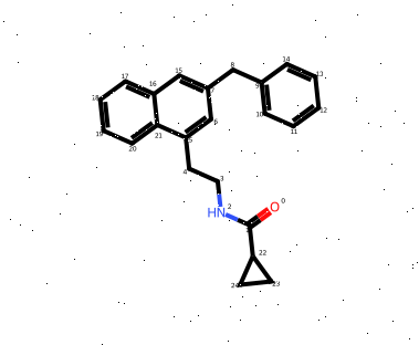 O=C(NCCc1cc(Cc2ccccc2)cc2ccccc12)C1CC1